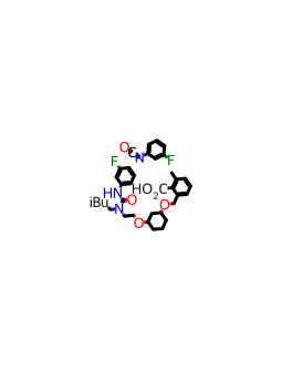 CCC(C)CN(CCOC1CCCC(OCc2cccc(C)c2C(=O)O)C1)C(=O)Nc1cccc(F)c1.O=C=Nc1cccc(F)c1